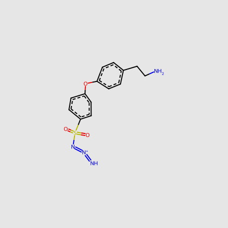 N=[N+]=NS(=O)(=O)c1ccc(Oc2ccc(CCN)cc2)cc1